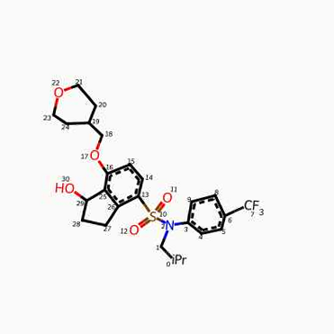 CC(C)CN(c1ccc(C(F)(F)F)cc1)S(=O)(=O)c1ccc(OCC2CCOCC2)c2c1CCC2O